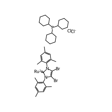 C1CCC(P(C2CCCCC2)C2CCCCC2)CC1.Cc1cc(C)c(-n2c(Br)c(Br)n(-c3c(C)cc(C)cc3C)[c]2=[Ru+2])c(C)c1.[Cl-].[Cl-]